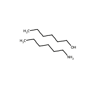 CCCCCCN.CCCCCCO